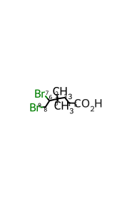 CC(C)(CCC(=O)O)C(Br)CBr